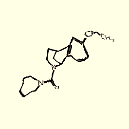 COc1ccc2c(c1)C1CCN(C(=O)N3CCCCC3)C2C1